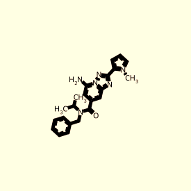 CC(C)N(Cc1ccccc1)C(=O)c1cc(N)n2nc(-c3cccn3C)nc2c1